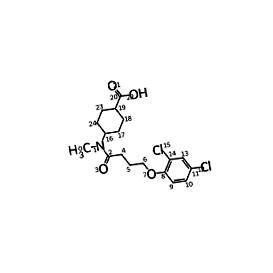 CN(C(=O)CCCOc1ccc(Cl)cc1Cl)C1CCC(C(=O)O)CC1